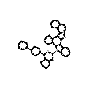 c1ccc(-c2ccc(-c3nc(-n4c5ccccc5c5c6sc7ccc8ccccc8c7c6c6ccccc6c54)nc4ccccc34)cc2)cc1